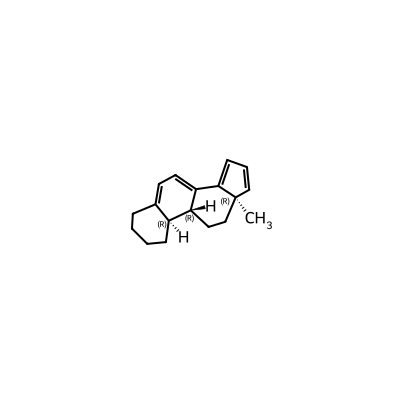 C[C@@]12C=CC=C1C1=CC=C3CCCC[C@@H]3[C@H]1CC2